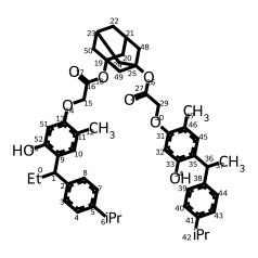 CCC(c1ccc(C(C)C)cc1)c1cc(C)c(OCC(=O)OC23CC4CC(CC(OC(=O)COc5cc(O)c(C(C)c6ccc(C(C)C)cc6)cc5C)(C4)C2)C3)cc1O